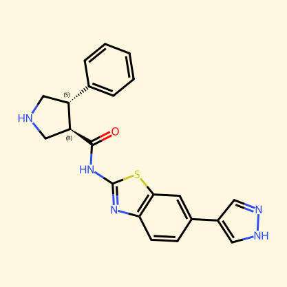 O=C(Nc1nc2ccc(-c3cn[nH]c3)cc2s1)[C@H]1CNC[C@@H]1c1ccccc1